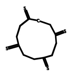 S=C1CCC(=S)CCC(=S)CCC(=S)CC1